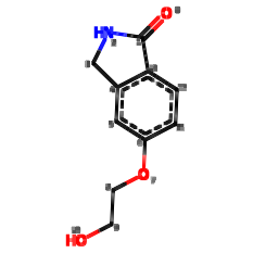 O=C1NCc2cc(OCCO)ccc21